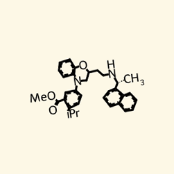 COC(=O)c1cc(N2CC(CCN[C@H](C)c3cccc4ccccc34)Oc3ccccc32)ccc1C(C)C